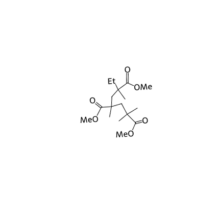 CCC(C)(CC(C)(CC(C)(C)C(=O)OC)C(=O)OC)C(=O)OC